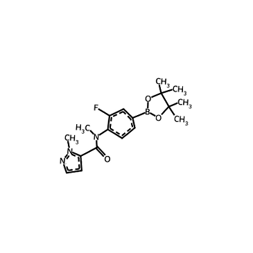 CN(C(=O)c1ccnn1C)c1ccc(B2OC(C)(C)C(C)(C)O2)cc1F